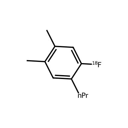 CCCc1cc(C)c(C)cc1[18F]